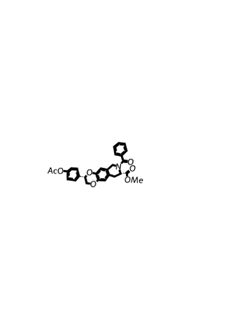 COC(=O)[C@@H]1Cc2cc3c(cc2CN1C(=O)c1ccccc1)O[C@@H](c1ccc(OC(C)=O)cc1)CO3